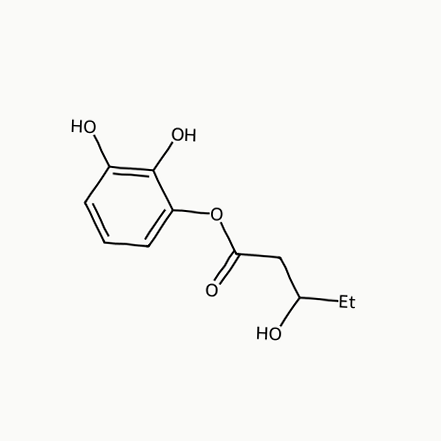 CCC(O)CC(=O)Oc1cccc(O)c1O